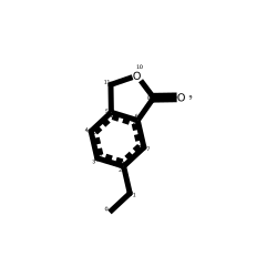 CCc1ccc2c(c1)C(=O)OC2